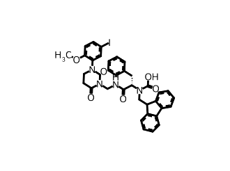 COc1ccc(I)cc1N1CCC(=O)N(CNC(=O)[C@H](Cc2ccccc2)N(CC2c3ccccc3-c3ccccc32)C(=O)O)C1=O